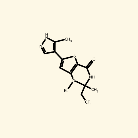 CCN1c2cc(-c3cn[nH]c3C)sc2C(=O)NC1(C)CC(F)(F)F